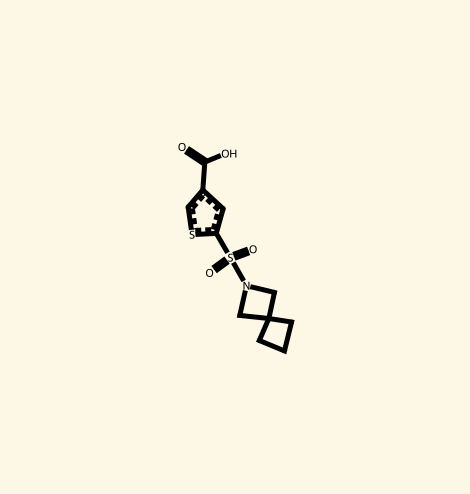 O=C(O)c1csc(S(=O)(=O)N2CC3(CCC3)C2)c1